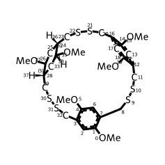 COc1cc2c(OC)cc1CSSCc1cc(OC)c(cc1OC)CSSC[C@H]1CC(OC)[C@@H](CSSC2)C[C@H]1OC